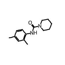 Cc1ccc(NC(=O)N2CCCCC2)c(C)c1